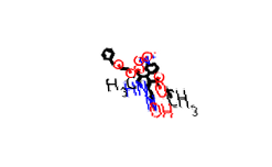 CCOC(=O)C1=C(C=NO)NC(C)=C(C(=O)OCCOCc2ccccc2)C1c1cccc([N+](=O)[O-])c1